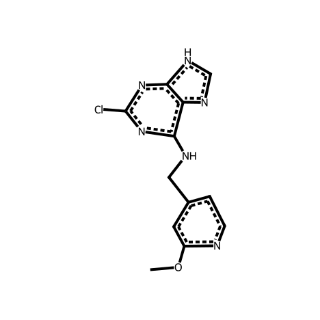 COc1cc(CNc2nc(Cl)nc3[nH]cnc23)ccn1